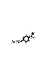 CC(=O)Nc1ccc(C(C)Br)cc1